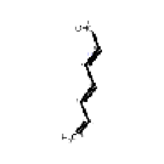 C=CC=C/C=C/C=O